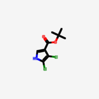 CC(C)(C)OC(=O)c1c[nH]c(Cl)c1Cl